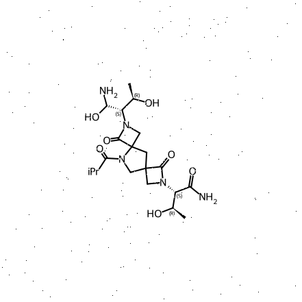 CC(C)C(=O)N1CC2(CN([C@H](C(N)=O)[C@@H](C)O)C2=O)CC12CN([C@H](C(N)O)[C@@H](C)O)C2=O